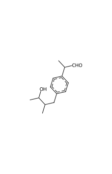 CC(C=O)c1ccc(CC(C)C(C)O)cc1